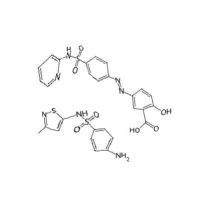 Cc1cc(NS(=O)(=O)c2ccc(N)cc2)sn1.O=C(O)c1cc(/N=N/c2ccc(S(=O)(=O)Nc3ccccn3)cc2)ccc1O